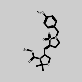 COc1ccc(CN2CC/C(=C\[C@H]3COC(C)(C)N3C(=O)OC(C)(C)C)S2(=O)=O)cc1